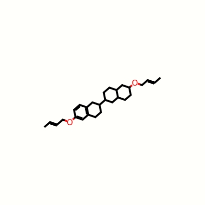 CC=CCOc1ccc2c(c1)CCC(C1CCC3CC(OCC=CC)CCC3C1)C2